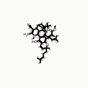 COC(=O)/C(C)=C\CC12OC(C)(C)C3CC(C1=O)C1C(C#N)=C(N)N(C)C4=C1C32Oc1c(CC=C(C)C)c2c(c(O)c14)C=CC(C)(CCC=C(C)C)O2